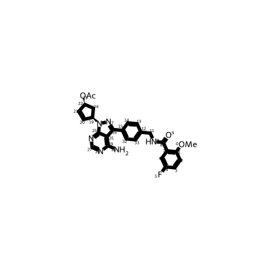 COc1ccc(F)cc1C(=O)NCc1ccc(-c2nn([C@H]3C=C[C@H](OC(C)=O)C3)c3ncnc(N)c23)cc1